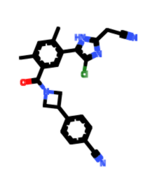 Cc1cc(C)c(-c2[nH]c(CC#N)nc2Cl)cc1C(=O)N1CC(c2ccc(C#N)cc2)C1